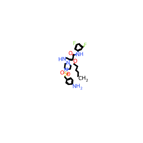 C=CCCCCO/C(C(=O)Nc1cc(F)cc(F)c1)=C(/C=N)N1CCN(S(=O)(=O)Cc2ccc(N)cc2)CC1